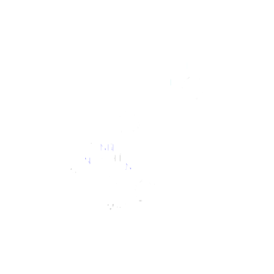 COc1ccc(F)c(CN(C(=O)C2=C(c3ccc(CCCOc4c(F)ccc(F)c4F)cc3)CC3CN(C(C)=O)C[C@H]2N3)C2CC2)c1